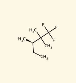 CC[C@@H](C)C(C)(C)C(F)(F)F